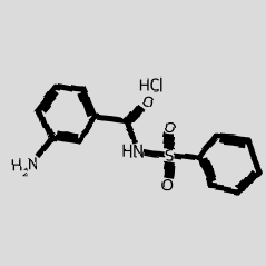 Cl.Nc1cccc(C(=O)NS(=O)(=O)c2ccccc2)c1